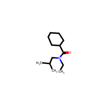 CCN(CC(C)C)C(=O)C1CCCCC1